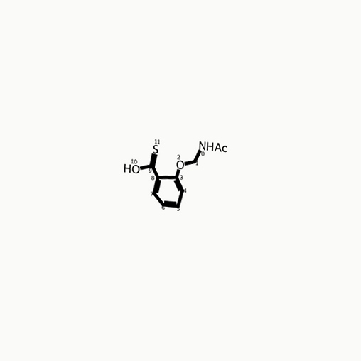 CC(=O)NCOc1ccccc1C(O)=S